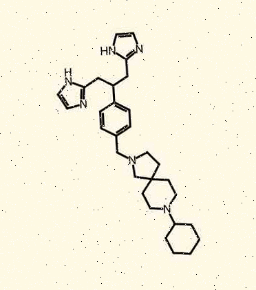 c1c[nH]c(CC(Cc2ncc[nH]2)c2ccc(CN3CCC4(CCN(C5CCCCC5)CC4)C3)cc2)n1